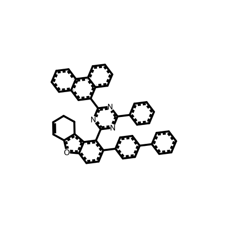 C1=Cc2oc3ccc(-c4ccc(-c5ccccc5)cc4)c(-c4nc(-c5ccccc5)nc(-c5cc6ccccc6c6ccccc56)n4)c3c2CC1